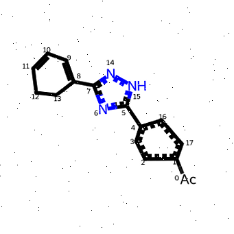 CC(=O)c1ccc(-c2nc(C3=CC=CCC3)n[nH]2)cc1